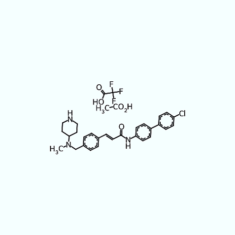 CC(=O)O.CN(Cc1ccc(C=CC(=O)Nc2ccc(-c3ccc(Cl)cc3)cc2)cc1)C1CCNCC1.O=C(O)C(F)(F)F